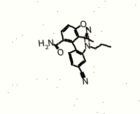 CCCNc1cc(C#N)ccc1-c1c(C(N)=O)ccc2onc(C)c12